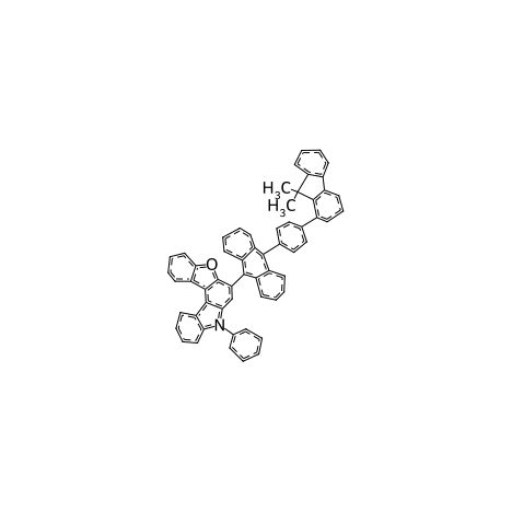 CC1(C)c2ccccc2-c2cccc(-c3ccc(-c4c5ccccc5c(-c5cc6c(c7ccccc7n6-c6ccccc6)c6c5oc5ccccc56)c5ccccc45)cc3)c21